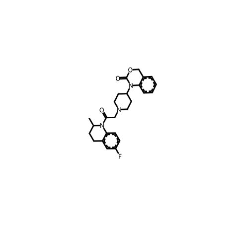 CC1CCc2cc(F)ccc2N1C(=O)CN1CCC(N2C(=O)OCc3ccccc32)CC1